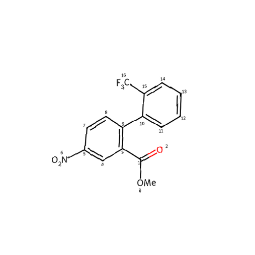 COC(=O)c1cc([N+](=O)[O-])ccc1-c1ccccc1C(F)(F)F